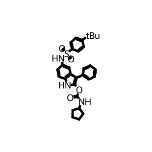 CC(C)(C)c1ccc(S(=O)(=O)Nc2ccc3[nH]c(OC(=O)NC4CCCC4)c(-c4ccccc4)c3c2)cc1